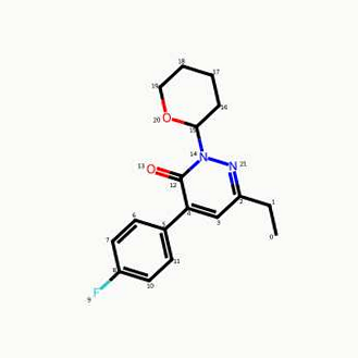 CCc1cc(-c2ccc(F)cc2)c(=O)n(C2CCCCO2)n1